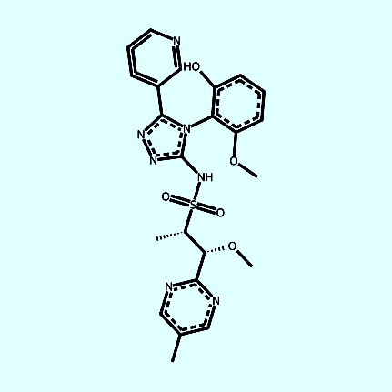 COc1cccc(O)c1-n1c(NS(=O)(=O)[C@@H](C)[C@H](OC)c2ncc(C)cn2)nnc1C1=C=C=CN=C1